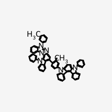 Cc1cccc(-n2c3ccccc3n3c4c(cc(-c5ccc(-n6c7ccccc7c7c8c9ccccc9n(-c9ccccc9)c8ccc76)cc5C)c5c6ccccc6n(-c6ccccc6)c54)nc23)c1